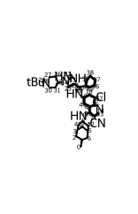 CC1CC2CC(C1)CC(Nc1c(C#N)cnc3c(Cl)cc(N[C@H](C4=CN(C5CCN(C(C)(C)C)CC5)NN4)c4ccccc4)cc13)C2